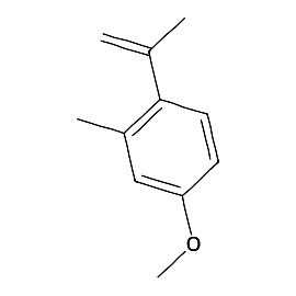 C=C(C)c1ccc(OC)cc1C